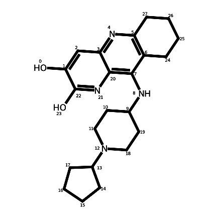 Oc1cc2nc3c(c(NC4CCN(C5CCCC5)CC4)c2nc1O)CCCC3